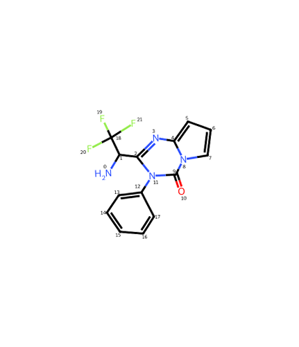 NC(c1nc2cccn2c(=O)n1-c1ccccc1)C(F)(F)F